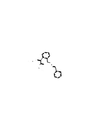 CO/N=C(\C(=O)OC)c1ccccc1CON=Cc1ccccc1